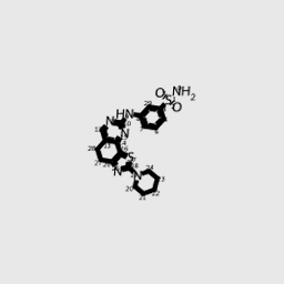 NS(=O)(=O)c1cccc(Nc2ncc3c(n2)-c2sc(N4CCCCC4)nc2CC3)c1